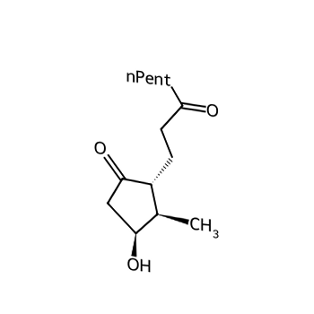 CCCCCC(=O)CC[C@H]1C(=O)C[C@H](O)[C@@H]1C